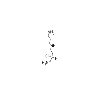 NCCCNCCC(F)(Cl)CN